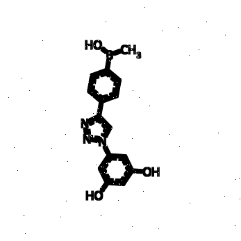 CB(O)c1ccc(-c2cn(-c3cc(O)cc(O)c3)nn2)cc1